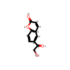 O=C(CBr)c1ccc2oc(=O)ccc2c1